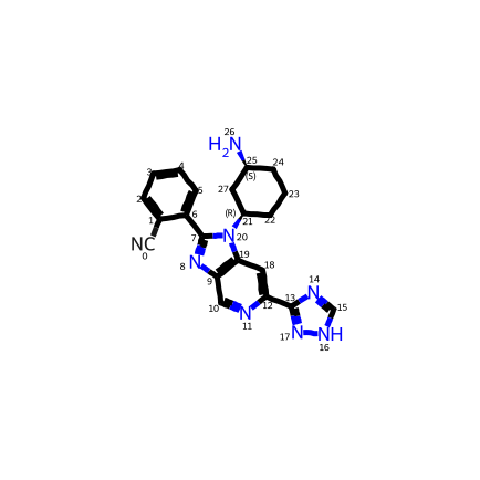 N#Cc1ccccc1-c1nc2cnc(-c3nc[nH]n3)cc2n1[C@@H]1CCC[C@H](N)C1